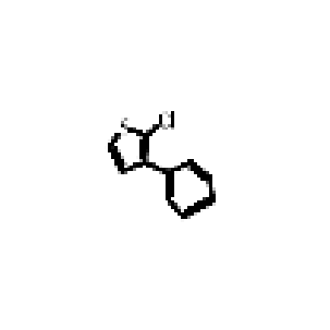 Clc1sccc1-c1cc[c]cc1